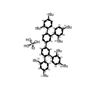 CC(C)(C)c1ccc(-c2ccc(-c3ccc(-c4ccc(C(C)(C)C)cc4C(C)(C)C)c(-c4ccc(C(C)(C)C)cc4C(C)(C)C)c3)cc2-c2ccc(C(C)(C)C)cc2C(C)(C)C)c(C(C)(C)C)c1.O=P(O)(O)O